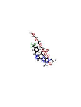 CCCn1c(=O)c2c(nc(-c3cnn(Cc4cccc(C(F)(F)F)c4)c3)n2C(CC)OC(=O)OCCOCCOCCOC)n(CC)c1=O